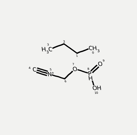 CCCC.[C-]#[N+]CO[PH](=O)O